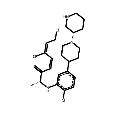 C=C(/C=C\C(Cl)=C/CCl)[C@@H](C)Nc1cc(C2CCN([C@H]3CCCNC3)CC2)ccc1Cl